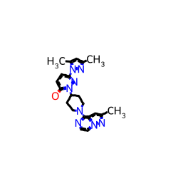 Cc1cc(C)n(-c2ccc(=O)n(C3CCN(c4nccn5nc(C)cc45)CC3)n2)n1